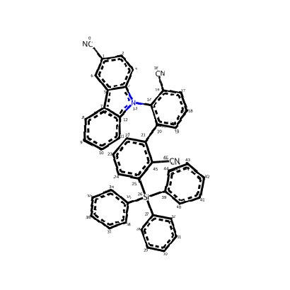 N#Cc1ccc2c(c1)c1ccccc1n2-c1c(C#N)cccc1-c1cccc([Si](c2ccccc2)(c2ccccc2)c2ccccc2)c1C#N